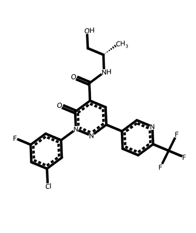 C[C@@H](CO)NC(=O)c1cc(-c2ccc(C(F)(F)F)nc2)nn(-c2cc(F)cc(Cl)c2)c1=O